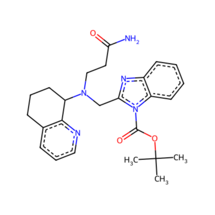 CC(C)(C)OC(=O)n1c(CN(CCC(N)=O)C2CCCc3cccnc32)nc2ccccc21